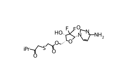 CC(C)C(=O)CSCC(=O)OC[C@H]1O[C@@H](n2ccc(N)nc2=O)C(F)(F)[C@H]1O